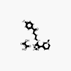 CN1CCC=C(c2nsnc2SCCCC(=O)c2ccc(F)cc2)C1.O=C(O)C(=O)O